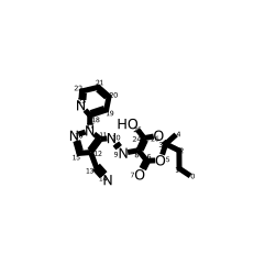 CCCC1(C)OC(=O)C(N=Nc2c(C#N)cnn2-c2ccccn2)=C(O)O1